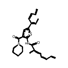 C=C/C=C\C=C(/C)C(=O)Nc1sc(C(/C=C\C=C)=C/C)cc1C(=O)N1CCCCC1